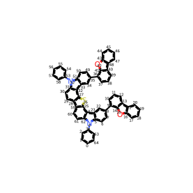 c1ccc(-n2c3ccc(-c4cccc5c4oc4ccccc45)cc3c3c4sc5c(ccc6c5c5cc(-c7cccc8c7oc7ccccc78)ccc5n6-c5ccccc5)c4ccc32)cc1